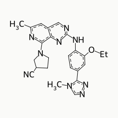 CCOc1cc(-c2nncn2C)ccc1Nc1ncc2cc(C)nc(N3CCC(C#N)C3)c2n1